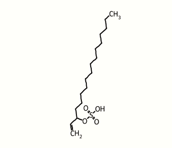 C=CC(CCCCCCCCCCCCCC)OS(=O)(=O)O